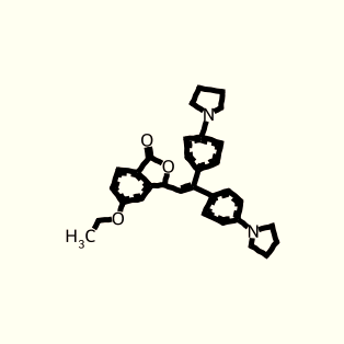 CCOc1ccc2c(c1)C(C=C(c1ccc(N3CCCC3)cc1)c1ccc(N3CCCC3)cc1)OC2=O